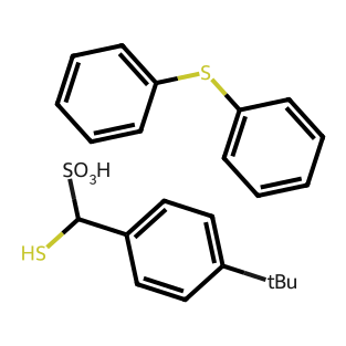 CC(C)(C)c1ccc(C(S)S(=O)(=O)O)cc1.c1ccc(Sc2ccccc2)cc1